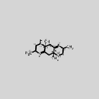 CC1CN[C@]2(C)CC3=NC(C)CN[C@@]3(C)CC2=N1